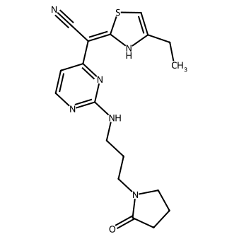 CCC1=CS/C(=C(\C#N)c2ccnc(NCCCN3CCCC3=O)n2)N1